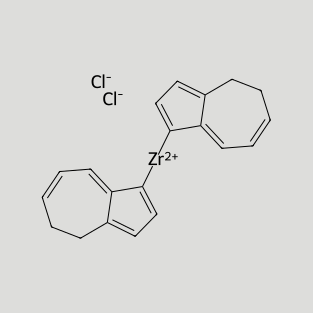 C1=CCCC2=CC=[C]([Zr+2][C]3=CC=C4CCC=CC=C43)C2=C1.[Cl-].[Cl-]